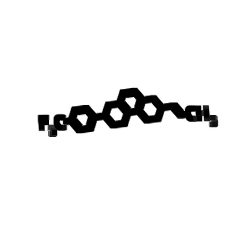 CC=CC1CCc2c(ccc3c2CCC(c2ccc(C(F)(F)F)cc2)C3)C1